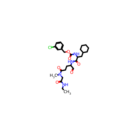 CCNC(=O)CN(C)C(=O)CCC(C=O)NC(=O)C(CC1CCCCC1)NC(=O)OCc1cccc(Cl)c1